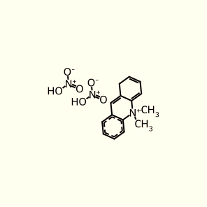 C[N+]1(C)C2=CC=CCC2=Cc2ccccc21.O=[N+]([O-])O.O=[N+]([O-])O